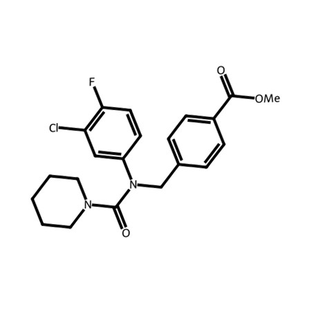 COC(=O)c1ccc(CN(C(=O)N2CCCCC2)c2ccc(F)c(Cl)c2)cc1